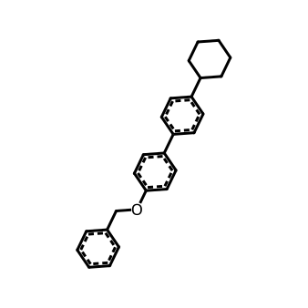 c1ccc(COc2ccc(-c3ccc(C4CCCCC4)cc3)cc2)cc1